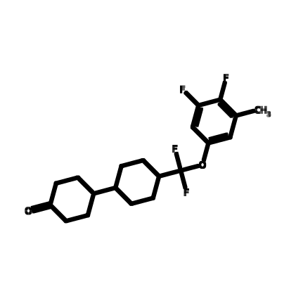 Cc1cc(OC(F)(F)C2CCC(C3CCC(=O)CC3)CC2)cc(F)c1F